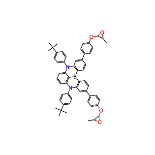 CC1OC1Oc1ccc(-c2ccc3c(c2)N(c2ccc(C(C)(C)C)cc2)c2cccc4c2B3c2ccc(-c3ccc(OC5OC5C)cc3)cc2N4c2ccc(C(C)(C)C)cc2)cc1